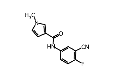 Cn1ccc(C(=O)Nc2ccc(F)c(C#N)c2)c1